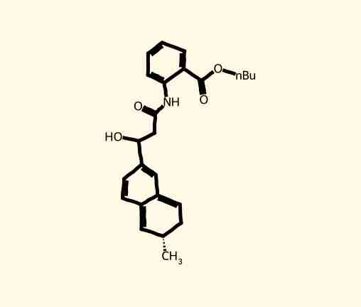 CCCCOC(=O)c1ccccc1NC(=O)CC(O)c1ccc2c(c1)=CC[C@H](C)C=2